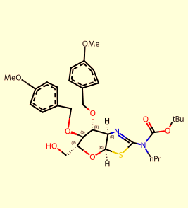 CCCN(C(=O)OC(C)(C)C)C1=N[C@@H]2[C@@H](OCc3ccc(OC)cc3)[C@H](OCc3ccc(OC)cc3)[C@@H](CO)O[C@@H]2S1